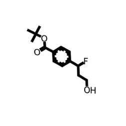 CC(C)(C)OC(=O)c1ccc(C(F)CCO)cc1